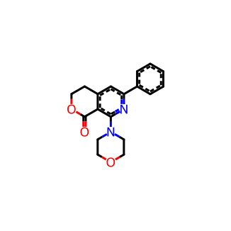 O=C1OCCc2cc(-c3ccccc3)nc(N3CCOCC3)c21